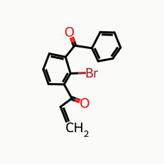 C=CC(=O)c1cccc(C(=O)c2ccccc2)c1Br